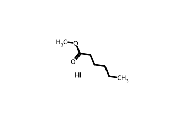 CCCCCC(=O)OC.I